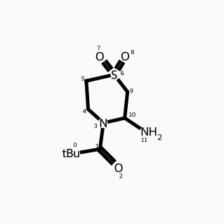 CC(C)(C)C(=O)N1CCS(=O)(=O)CC1N